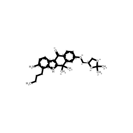 CCCCc1c(N)ccc2c3c([nH]c12)C(C)(C)c1cc(OC[C@H]2COC(C)(C)O2)ccc1C3=O